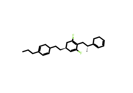 CCCC1=CCC(CC[C@@H]2C=C(F)C(C[C@@H](C)C3=CC=CCC3)=C(F)C2)C=C1